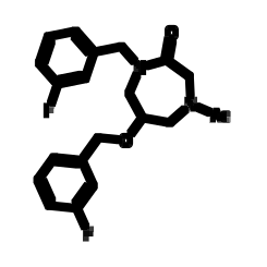 CC(=O)N1CC(=O)N(Cc2cccc(F)c2)CC(OCc2cccc(F)c2)C1